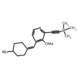 COc1c(C=C2CCC(C(C)(C)C)CC2)ccnc1C#C[Si](C)(C)C